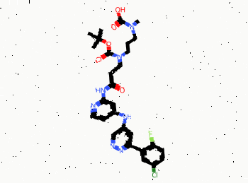 CN(CCCN(CCC(=O)Nc1cc(Nc2cnnc(-c3cc(Cl)ccc3F)c2)ccn1)C(=O)OC(C)(C)C)C(=O)O